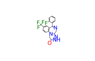 O=C1CN2C(=NN1)CN=C(c1ccccc1F)c1cc(C(F)(F)F)ccc12